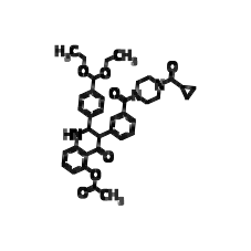 CCOC(OCC)c1ccc(C2Nc3cccc(OC(C)=O)c3C(=O)C2c2cccc(C(=O)N3CCN(C(=O)C4CC4)CC3)c2)cc1